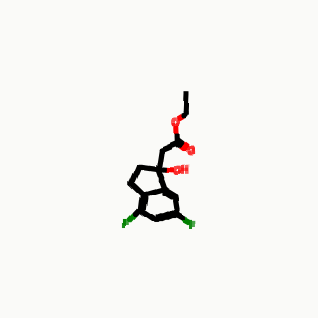 CCOC(=O)CC1(O)CCc2c(F)cc(F)cc21